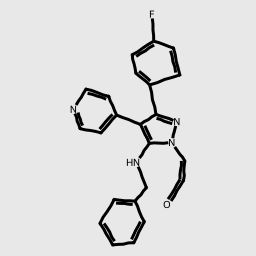 O=C=Cn1nc(-c2ccc(F)cc2)c(-c2ccncc2)c1NCc1ccccc1